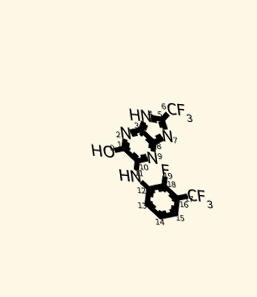 Oc1nc2[nH]c(C(F)(F)F)nc2nc1Nc1cccc(C(F)(F)F)c1F